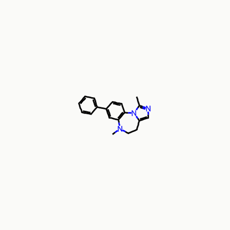 Cc1ncc2n1-c1ccc(-c3ccccc3)cc1N(C)CC2